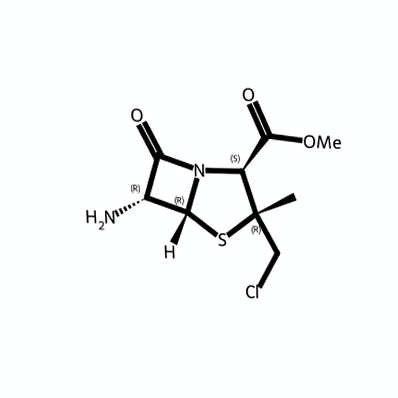 COC(=O)[C@@H]1N2C(=O)[C@@H](N)[C@H]2S[C@@]1(C)CCl